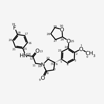 COc1ccc([C@@H]2CC(=O)N(CC(=O)Nc3ccc(F)cc3)C2)cc1OC1CCCO1